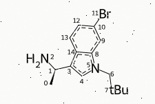 C[C@@H](N)c1cn(CC(C)(C)C)c2cc(Br)ccc12